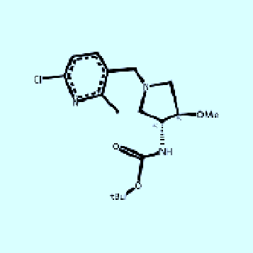 CO[C@@H]1CN(Cc2ccc(Cl)nc2C)C[C@H]1NC(=O)OC(C)(C)C